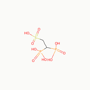 O=P(O)(O)C(CS(=O)(=O)O)P(=O)(O)O